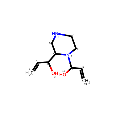 C=CC(O)C1CNCCN1C(O)C=C